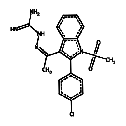 C/C(=N/NC(=N)N)c1c(-c2ccc(Cl)cc2)n(S(C)(=O)=O)c2ccccc12